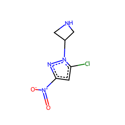 O=[N+]([O-])c1cc(Cl)n(C2CNC2)n1